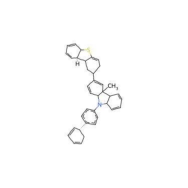 CC12C=C(C3CC=C4SC5C=CC=C[C@@H]5C4C3)C=CC1N(c1ccc([C@H]3C=CC=CC3)cc1)C1C=CC=CC12